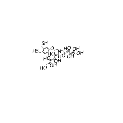 OC[C@@H](O)[C@@H](O)[C@@H](O)[C@@H](O)CN(CCOc1ccc(CS)c(CS)c1)C[C@H](O)[C@H](O)[C@H](O)[C@H](O)CO